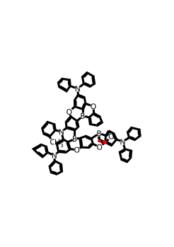 Cc1ccccc1N1c2cc3c(cc2B2c4cc5c(cc4Oc4cc(N(c6ccccc6)c6ccccc6)cc1c42)Oc1cc(N(c2ccccc2)c2ccccc2)cc2c1B5c1ccccc1O2)B1c2ccccc2Oc2cc(N(c4ccccc4)c4ccccc4)cc(c21)O3